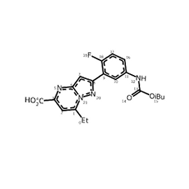 CCc1cc(C(=O)O)nc2cc(-c3cc(NC(=O)OCC(C)C)ccc3F)nn12